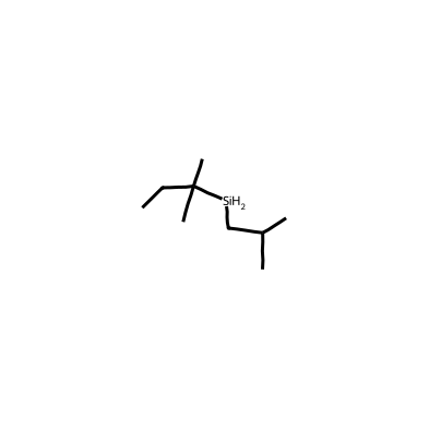 CCC(C)(C)[SiH2]CC(C)C